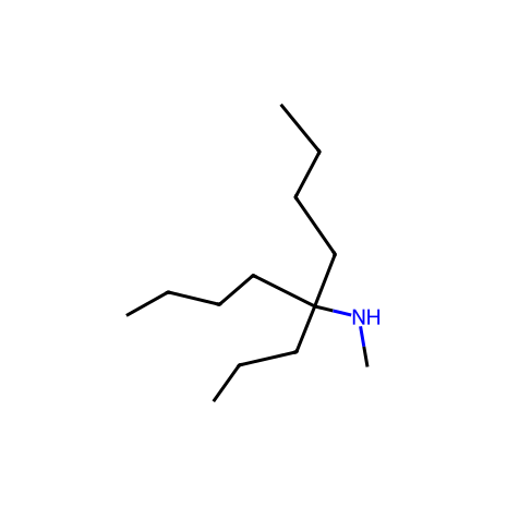 CCCCC(CCC)(CCCC)NC